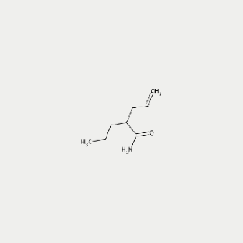 C=CCC(CCC)C(N)=O